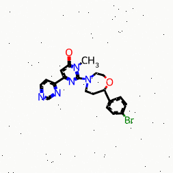 Cn1c(N2CCOC(c3ccc(Br)cc3)CC2)nc(-c2ccncn2)cc1=O